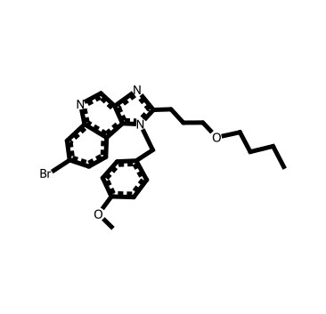 CCCCOCCCc1nc2cnc3cc(Br)ccc3c2n1Cc1ccc(OC)cc1